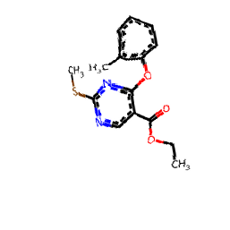 CCOC(=O)c1cnc(SC)nc1Oc1ccccc1C